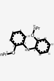 CCCOc1ccccc1[N]c1ccccc1OCCC